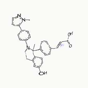 Cn1nccc1-c1ccc(N2CCc3cc(O)ccc3C2(C)c2ccc(/C=C/C(=O)O)cc2)cc1